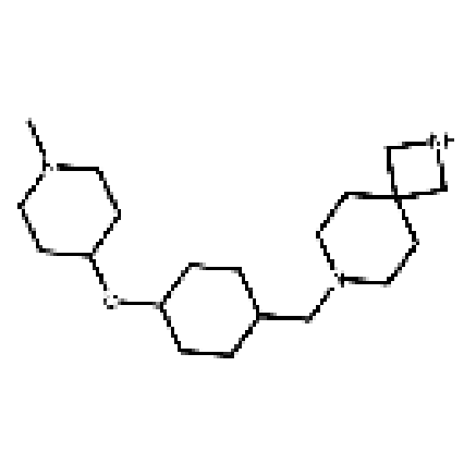 CN1CCC(OC2CCC(CN3CCC4(CC3)CNC4)CC2)CC1